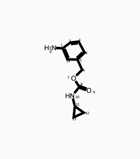 Nc1cccc(COC(=O)NC2CC2)c1